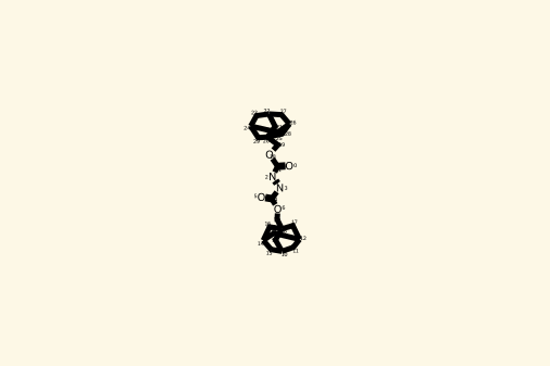 O=C(/N=N/C(=O)OCC12CC3CC(CC(C3)C1)C2)OCC12CC3CC(CC(C3)C1)C2